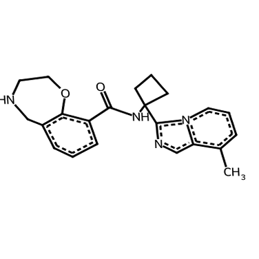 Cc1cccn2c(C3(NC(=O)c4cccc5c4OCCNC5)CCC3)ncc12